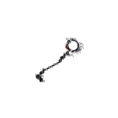 CO[C@H]1CC2CCCC(O2)C(=O)C(=O)N2CCCC[C@H]2C(=O)O[C@H](CC[C@@H]2CC[C@@H](OC(=O)N3CCc4nc(N5CCN(CCOCCOCCOCCOCCOCCC(=O)N6CCc7cc(CNc8ncnc(N)c8C(=N)c8cnc9[nH]ccc9c8)ccc7C6)CC5)ncc4C3)[C@H](OC)C2)CC(=O)[C@H](C)/C=C(\C)[C@@H](O)[C@@H](O)C(=O)[C@H](C)C[C@H](C)/C=C/C=C/C=C/1C